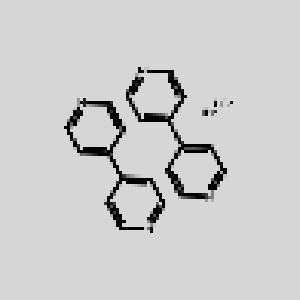 Br.Br.c1cc(-c2ccncc2)ccn1.c1cc(-c2ccncc2)ccn1